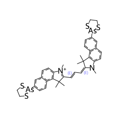 CN1/C(=C/C=C/C2=[N+](C)c3ccc4cc([As]5SCCS5)ccc4c3C2(C)C)C(C)(C)c2c1ccc1cc([As]3SCCS3)ccc21